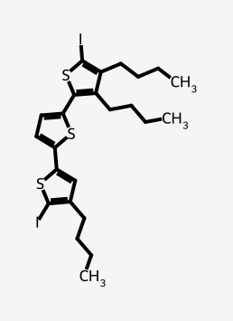 CCCCc1cc(-c2ccc(-c3sc(I)c(CCCC)c3CCCC)s2)sc1I